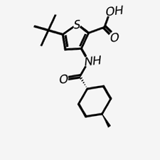 CC(C)(C)c1cc(NC(=O)[C@H]2CC[C@H](C)CC2)c(C(=O)O)s1